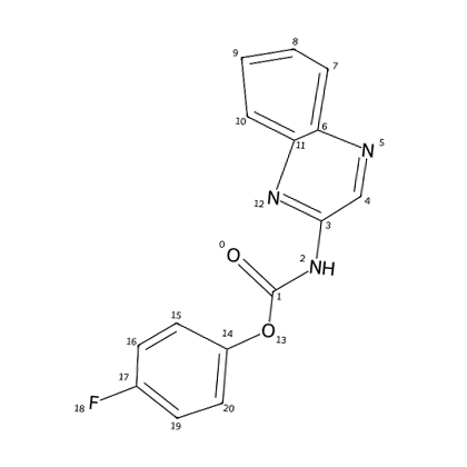 O=C(Nc1cnc2ccccc2n1)Oc1ccc(F)cc1